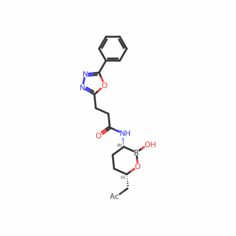 CC(=O)C[C@@H]1CC[C@H](NC(=O)CCc2nnc(-c3ccccc3)o2)B(O)O1